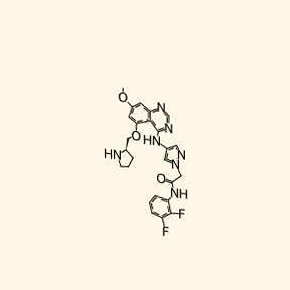 COc1cc(OC[C@H]2CCCN2)c2c(Nc3cnn(CC(=O)Nc4cccc(F)c4F)c3)ncnc2c1